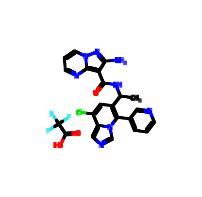 CC(NC(=O)c1c(N)nn2cccnc12)c1cc(Cl)c2cncn2c1-c1cccnc1.O=C(O)C(F)(F)F